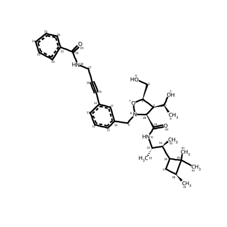 C[C@H](O)[C@@H]1[C@H](CO)ON(Cc2cccc(C#CCNC(=O)c3ccccc3)c2)[C@@H]1C(=O)N[C@@H](C)[C@@H](C)C1C[C@H](C)C1(C)C